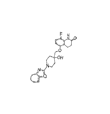 O=C1CCc2c(OCC3(O)CCN(c4nc5ccccc5o4)CC3)ccc(F)c2N1